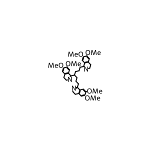 COc1cc2c(cc1OC)C(CCCC(CCCC1=NCCc3cc(OC)c(OC)cc31)C1=NCCc3cc(OC)c(OC)cc31)=NCC2